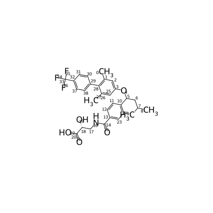 Cc1cc(OC(CC(C)C)c2ccc(C(=O)NC[C@@H](O)C(=O)O)cc2)cc(C)c1-c1ccc(C(F)(F)F)cc1